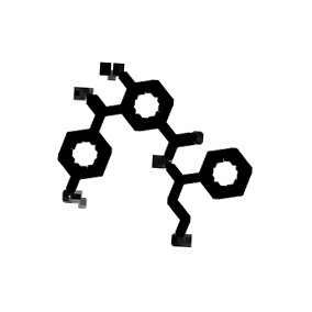 Cc1ccc(C(=N)c2cc(C(=O)NC(CCO)c3ccccc3)ccc2N)cc1